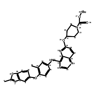 Cc1nc2cc(Oc3ccc(Nc4ncnc5ccc(OC6CCN(C(=O)OC(C)(C)C)CC6)nc45)cc3C)ccc2s1